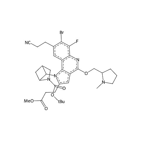 COC(=O)CCc1cc2c(OCC3CCCN3C)nc3c(F)c(Br)c(CCC#N)cc3c2n1C1C2CC1N(C(=O)OC(C)(C)C)C2